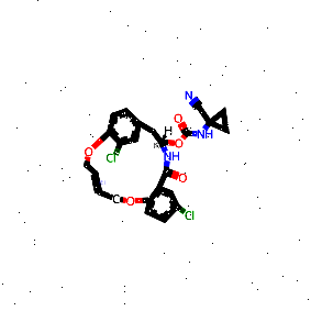 N#CC1(NC(=O)O[C@H]2Cc3ccc(c(Cl)c3)OC/C=C/COc3ccc(Cl)cc3C(=O)N2)CC1